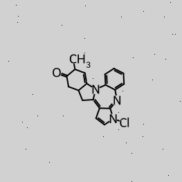 CC1C=C2C(CC1=O)CC1=c3ccn(Cl)c3=Nc3ccccc3N21